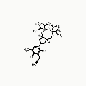 C#CCn1c(=O)c(C)cn([C@H]2C[C@@H]3O[Si](C(C)C)(C(C)C)O[Si](C(C)C)(C(C)C)OC[C@H]3O2)c1=O